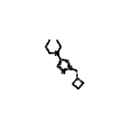 c1nn(CC2CCC2)cc1N1CCCCC1